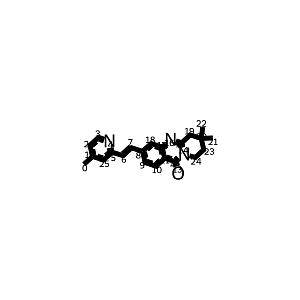 Cc1ccnc(/C=C/c2ccc3c(=O)n4c(nc3c2)CC(C)(C)CC4)c1